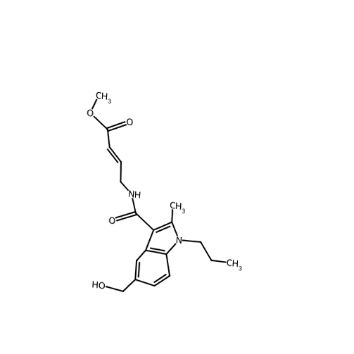 CCCn1c(C)c(C(=O)NC/C=C/C(=O)OC)c2cc(CO)ccc21